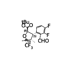 C[C@H]1[C@@H](c2ccc(F)c(F)c2C=O)[C@H](C(=O)OC(C)(C)C)O[C@@]1(C)C(F)(F)F